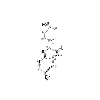 CN1CCN(c2nc3ncc(Br)cc3nc2Cl)CC1